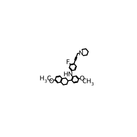 COc1ccc2c(c1)CCC(c1ccc(OC)cc1Nc1ccc(C#CCN3CCCCC3)c(F)c1)C2